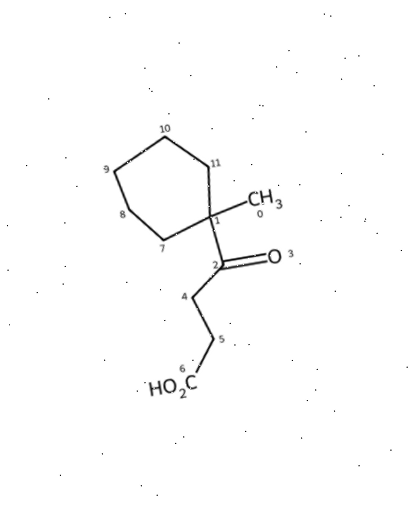 CC1(C(=O)CCC(=O)O)CCCCC1